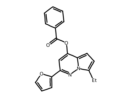 CCc1ccc2c(OC(=O)c3ccccc3)cc(-c3ccco3)nn12